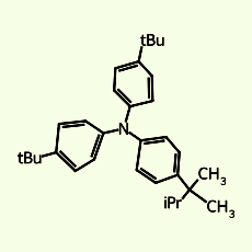 CC(C)C(C)(C)c1ccc(N(c2ccc(C(C)(C)C)cc2)c2ccc(C(C)(C)C)cc2)cc1